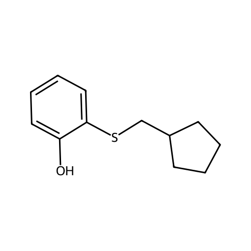 Oc1ccccc1SCC1CCCC1